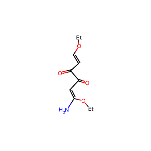 CCOC=CC(=O)C(=O)C=C(N)OCC